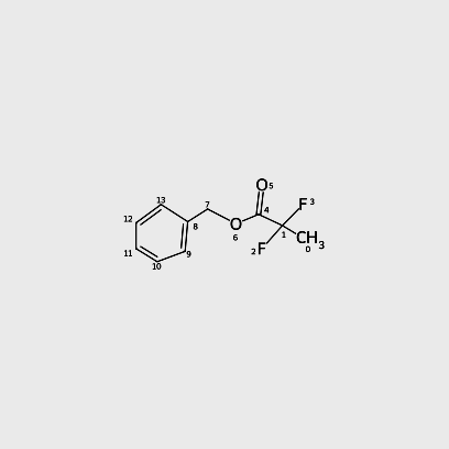 CC(F)(F)C(=O)OCc1ccccc1